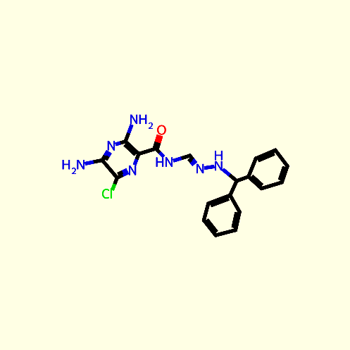 Nc1nc(N)c(C(=O)NC=NNC(c2ccccc2)c2ccccc2)nc1Cl